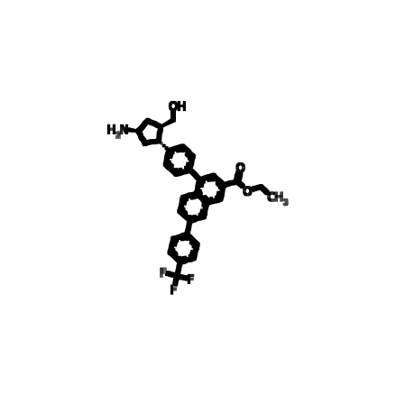 CCOC(=O)c1cc(-c2ccc([C@@H]3C[C@@H](N)C[C@H]3CO)cc2)c2ccc(-c3ccc(C(F)(F)F)cc3)cc2c1